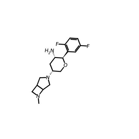 CN1CC2CN([C@H]3CO[C@H](c4cc(F)ccc4F)[C@@H](N)C3)CC21